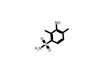 Cc1ccc(S(N)(=O)=O)c(C)c1N=O